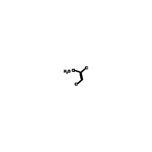 ClC=C(Cl)Cl.O